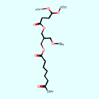 CCCCCCCCOC(CCC(=O)OCC(COC(=O)CCCCCC(=O)OC)COC(C)(C)C)OCCCCCCCC